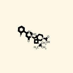 CC(C)(C)[C@@H]1CCC12CN(C(=O)O)CCC2(O)Cn1cnc(-c2ccccc2F)cc1=O